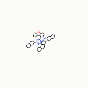 c1ccc2cc(C3=NC(c4cccc5ccccc45)NC(c4c(-n5c6ccccc6c6cc7ccccc7cc65)ccc5oc6ccccc6c45)=N3)ccc2c1